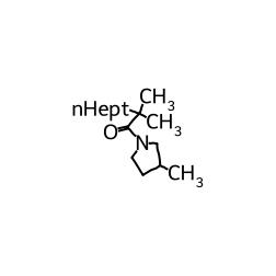 CCCCCCCC(C)(C)C(=O)N1CCC(C)C1